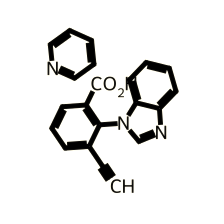 C#Cc1cccc(C(=O)O)c1-n1cnc2ccccc21.c1ccncc1